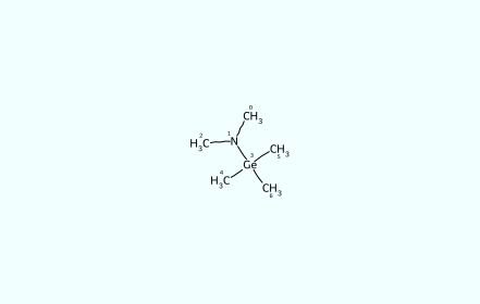 C[N](C)[Ge]([CH3])([CH3])[CH3]